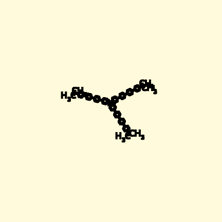 CC(C)c1ccc(-c2ccc(-c3ccc(-c4ccc(-n5c6ccc(-c7ccc(-c8ccc(-c9ccc(C(C)C)cc9)cc8)cc7)cc6c6cc(-c7ccc(-c8ccc(-c9ccc(C(C)C)cc9)cc8)cc7)ccc65)cc4)cc3)cc2)cc1